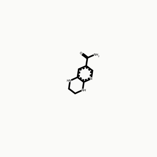 NC(=O)c1cnc2c(c1)NCCN2